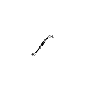 CB=BO